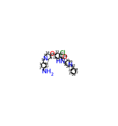 Nc1ccc(CN2CCC(Oc3ccc(C(=O)NC4CCN(Cc5ccccc5)CC4)c(Cl)c3)CC2)cc1